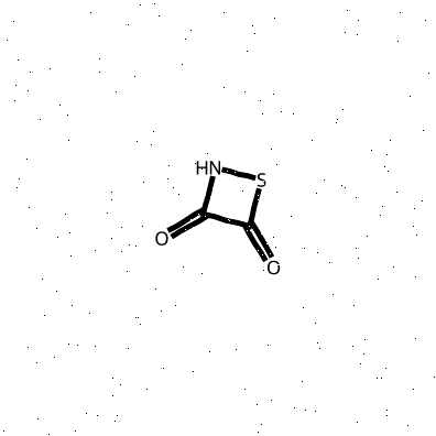 O=C1NSC1=O